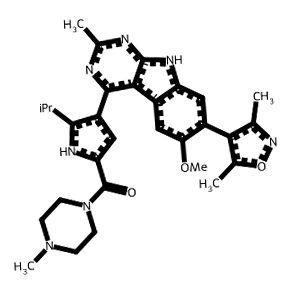 COc1cc2c(cc1-c1c(C)noc1C)[nH]c1nc(C)nc(-c3cc(C(=O)N4CCN(C)CC4)[nH]c3C(C)C)c12